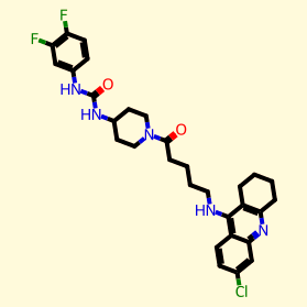 O=C(Nc1ccc(F)c(F)c1)NC1CCN(C(=O)CCCCNc2c3c(nc4cc(Cl)ccc24)CCCC3)CC1